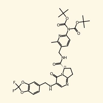 Cc1nc(N(C(=O)OC(C)(C)C)C(=O)OC(C)(C)C)ccc1CNC(=O)[C@@H]1CCc2ncc(NCc3ccc4c(c3)OC(F)(F)O4)c(=O)n21